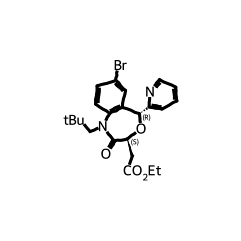 CCOC(=O)C[C@@H]1O[C@@H](c2ccccn2)c2cc(Br)ccc2N(CC(C)(C)C)C1=O